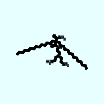 CCCCCCCCCCCCCCC(CCCCCCCCCCCCCC)(C(N)=O)C(=O)NCCN(CCN)CCN